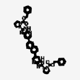 O=C(OCc1ccccc1)N1CCC[C@H]1c1nc2ncc(-c3ccc4cc(-c5cnc6[nH]c([C@@H]7CCCN7C(=O)OCc7ccccc7)nc6c5)ccc4c3)cc2[nH]1